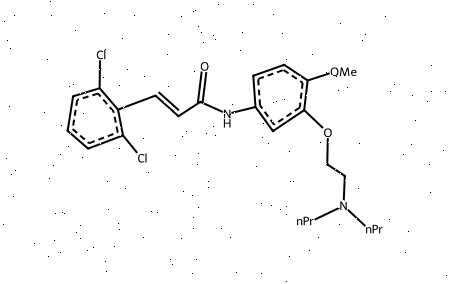 CCCN(CCC)CCOc1cc(NC(=O)C=Cc2c(Cl)cccc2Cl)ccc1OC